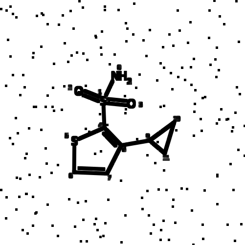 NS(=O)(=O)c1sccc1C1CC1